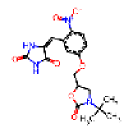 CC(C)(C)N1CC(COc2ccc([N+](=O)[O-])c(/C=C3/NC(=O)NC3=O)c2)OC1=O